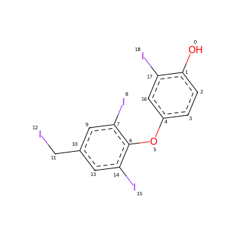 Oc1ccc(Oc2c(I)cc(CI)cc2I)cc1I